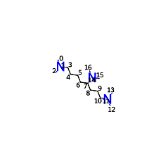 CN(C)CCCCC(CCCN(C)C)N(C)C